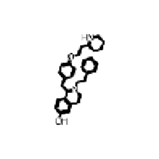 Oc1ccc2c(c1)CCN(CCc1ccccc1)C2Cc1ccc(OCCC2CCCCN2)cc1